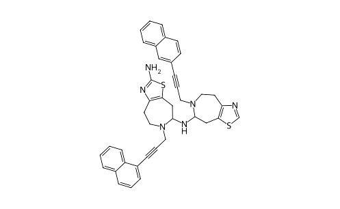 Nc1nc2c(s1)CC(NC1Cc3scnc3CCN1CC#Cc1ccc3ccccc3c1)N(CC#Cc1cccc3ccccc13)CC2